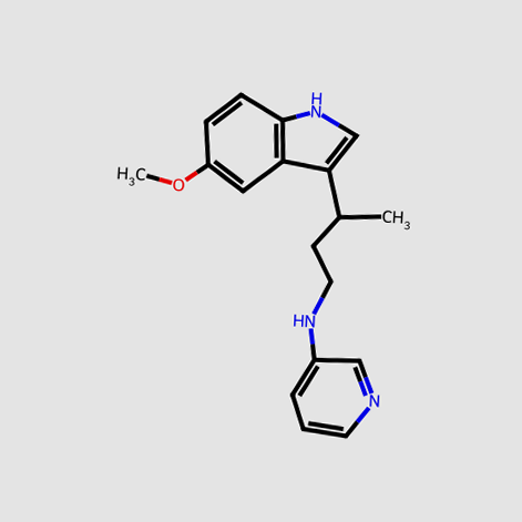 COc1ccc2[nH]cc(C(C)CCNc3cccnc3)c2c1